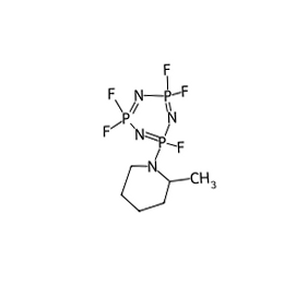 CC1CCCCN1P1(F)=NP(F)(F)=NP(F)(F)=N1